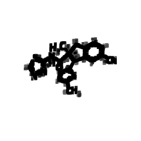 Cc1ccc([C@@H]2c3cc(C#N)ccc3C[C@]2(C)C(=O)Nc2nncs2)s1